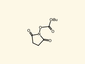 CC(C)COC(=O)ON1C(=O)CCC1=O